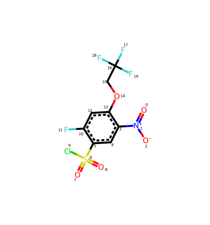 O=[N+]([O-])c1cc(S(=O)(=O)Cl)c(F)cc1OCC(F)(F)F